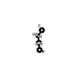 Fc1cccc(-c2ncc(-c3c[nH]c(-c4cccc(F)c4)n3)cn2)c1